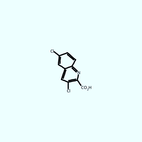 O=C(O)c1nc2ccc(Cl)cc2cc1Cl